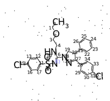 CCOCCN/C(=N\S(=O)(=O)c1ccc(Cl)cc1)N1CC(c2ccccc2)C(c2ccc(Cl)cc2)=N1